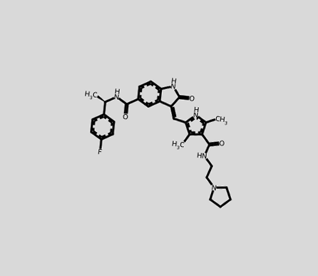 Cc1[nH]c(C=C2C(=O)Nc3ccc(C(=O)N[C@H](C)c4ccc(F)cc4)cc32)c(C)c1C(=O)NCCN1CCCC1